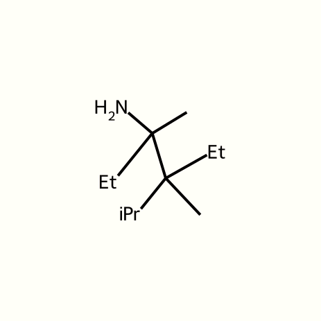 CCC(C)(N)C(C)(CC)C(C)C